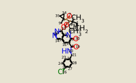 C=CC(C)(C)S(=O)(=O)C1(COc2nncc3cc(C(=O)NCc4ccc(Cl)cc4)c(=O)n(C)c23)CC1